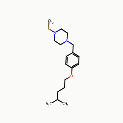 CSN1CCN(Cc2ccc(OCCCC(C)C)cc2)CC1